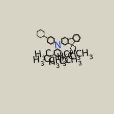 CCCC1(CCC)c2ccccc2-c2ccc(N(c3ccc(C4CCCCC4)cc3)c3cc(C(C)(C)C)cc(C(C)(C)C)c3)cc21